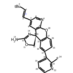 CC(C)(C)/C=C/c1cnc2c(c1)[C@]1(COC(N)=N1)c1cc(-c3cccnc3F)ccc1O2